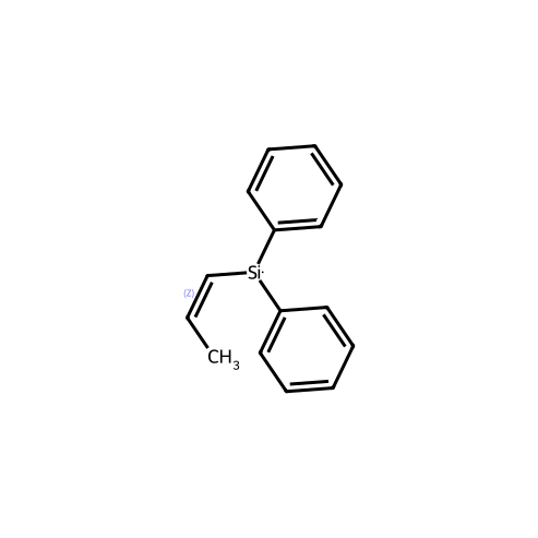 C/C=C\[Si](c1ccccc1)c1ccccc1